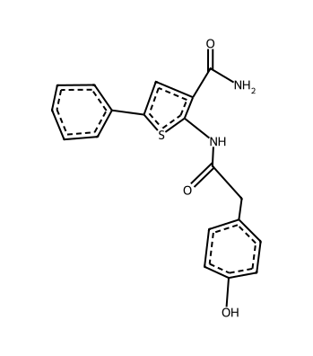 NC(=O)c1cc(-c2ccccc2)sc1NC(=O)Cc1ccc(O)cc1